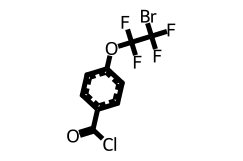 O=C(Cl)c1ccc(OC(F)(F)C(F)(F)Br)cc1